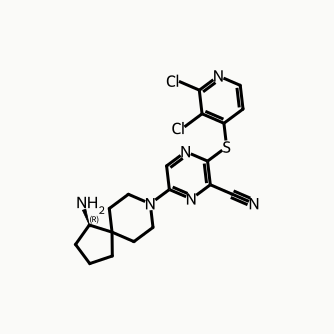 N#Cc1nc(N2CCC3(CCC[C@H]3N)CC2)cnc1Sc1ccnc(Cl)c1Cl